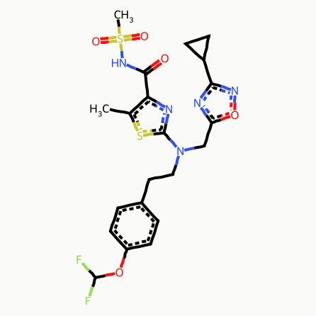 Cc1sc(N(CCc2ccc(OC(F)F)cc2)Cc2nc(C3CC3)no2)nc1C(=O)NS(C)(=O)=O